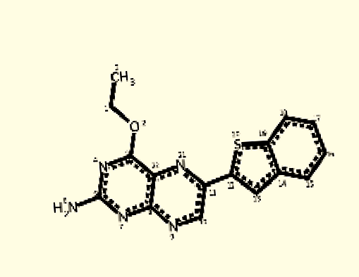 CCOc1nc(N)nc2ncc(-c3cc4ccccc4s3)nc12